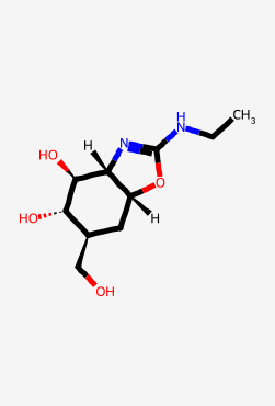 CCNC1=N[C@H]2[C@H](O)[C@@H](O)[C@H](CO)C[C@H]2O1